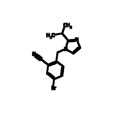 CC(C)c1nccn1Cc1ccc(Br)cc1C#N